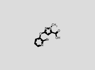 Cn1nc(Oc2cccnc2Br)cc1C(=O)O